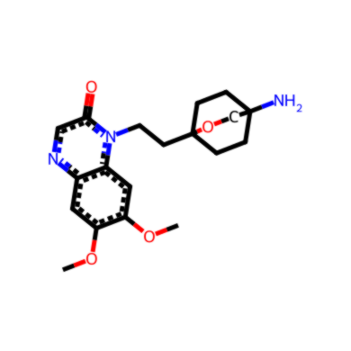 COc1cc2ncc(=O)n(CCC34CCC(N)(CC3)CO4)c2cc1OC